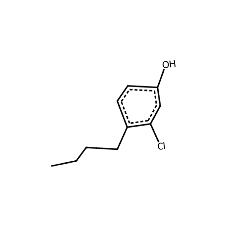 CCCCc1ccc(O)cc1Cl